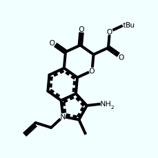 C=CCn1c(C)c(N)c2c3c(ccc21)C(=O)C(=O)C(C(=O)OC(C)(C)C)O3